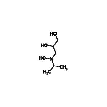 CC(C)N(O)CC(O)CO